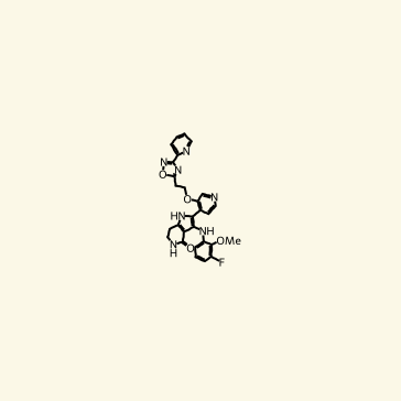 COc1c(F)cccc1Nc1c(-c2ccncc2OCCc2nc(-c3ccccn3)no2)[nH]c2c1C(=O)NCC2